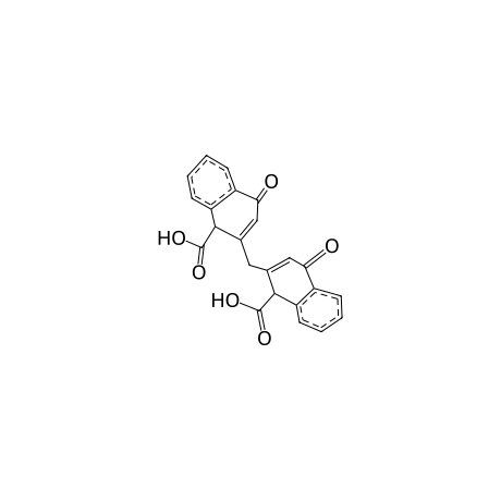 O=C1C=C(CC2=CC(=O)c3ccccc3C2C(=O)O)C(C(=O)O)c2ccccc21